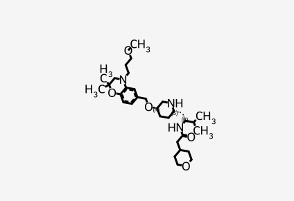 COCCCN1CC(C)(C)Oc2ccc(CO[C@@H]3CC[C@@H](C[C@@H](NC(=O)CC4CCOCC4)C(C)C)NC3)cc21